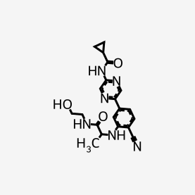 CC(Nc1cc(-c2cnc(NC(=O)C3CC3)cn2)ccc1C#N)C(=O)NCCO